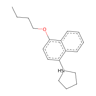 CCCCOc1ccc([SiH]2CCCC2)c2ccccc12